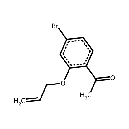 C=CCOc1cc(Br)ccc1C(C)=O